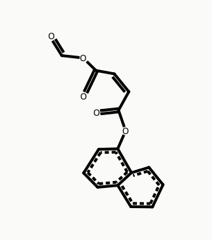 O=COC(=O)/C=C\C(=O)Oc1cccc2ccccc12